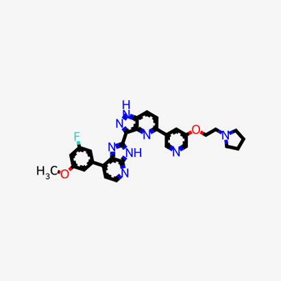 COc1cc(F)cc(-c2ccnc3[nH]c(-c4n[nH]c5ccc(-c6cncc(OCCN7CCCC7)c6)nc45)nc23)c1